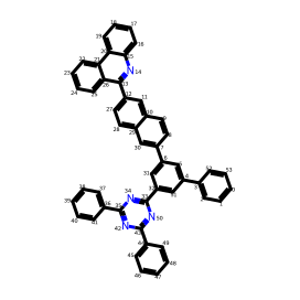 c1ccc(-c2cc(-c3ccc4cc(-c5nc6ccccc6c6ccccc56)ccc4c3)cc(-c3nc(-c4ccccc4)nc(-c4ccccc4)n3)c2)cc1